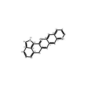 c1cnc2cc3cc4c(nc3cc2c1)-c1scc2cccc(c12)C4